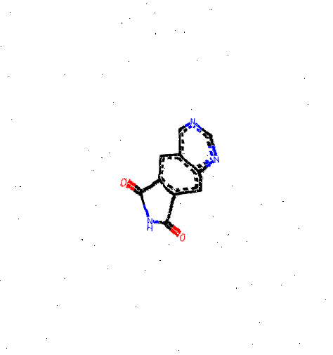 O=C1NC(=O)c2cc3ncncc3cc21